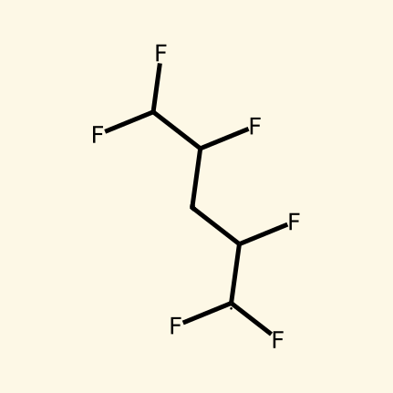 F[C](F)C(F)CC(F)C(F)F